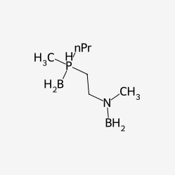 BN(C)CC[PH](B)(C)CCC